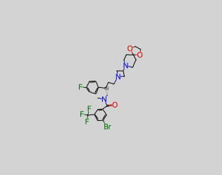 CN(C[C@@H](CCN1CC(N2CCC3(CC2)OCCO3)C1)c1ccc(F)cc1)C(=O)c1cc(Br)cc(C(F)(F)F)c1